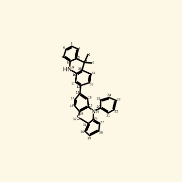 CC1(C)c2ccccc2Nc2cc(-c3ccc4c(c3)N(c3ccccc3)c3ccccc3S4)ccc21